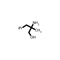 CC(C)CC(C)(N)CO